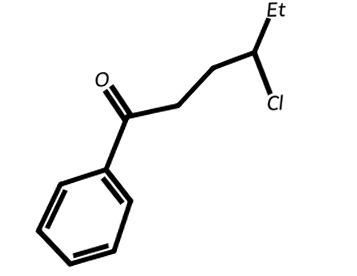 CCC(Cl)CCC(=O)c1ccccc1